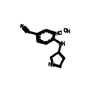 Cl.Cl.N#Cc1ccc(NC2CCNC2)cc1